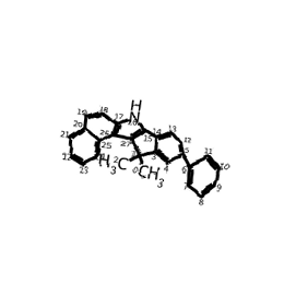 CC1(C)c2cc(-c3ccccc3)ccc2-c2[nH]c3ccc4ccccc4c3c21